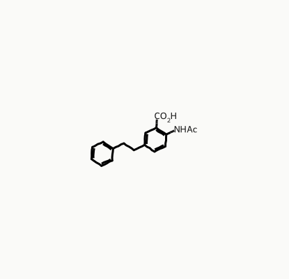 CC(=O)Nc1ccc(CCc2ccccc2)cc1C(=O)O